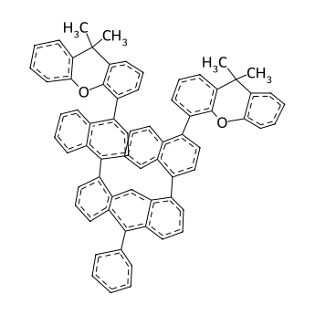 CC1(C)c2ccccc2Oc2c(-c3ccc(-c4cccc5c(-c6ccccc6)c6cccc(-c7ccc(-c8cccc9c8Oc8ccccc8C9(C)C)c8ccccc78)c6cc45)c4ccccc34)cccc21